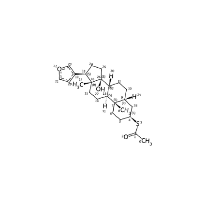 CC(=O)S[C@H]1CC[C@@]2(C)[C@H](CC[C@@H]3[C@@H]2CC[C@]2(C)[C@@H](c4ccoc4)CC[C@]32O)C1